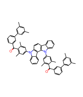 Cc1cc(C)cc(-c2cccc(C(=O)c3c(C)cc(-n4c5ccccc5c5c4ccc4c6ccccc6n(-c6cc(C)c(C(=O)c7cccc(-c8cc(C)cc(C)c8)c7)c(C)c6)c45)cc3C)c2)c1